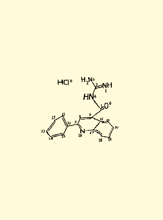 Cl.N=C(N)NC(=O)c1cc(-c2ccccc2)nc2ccccc12